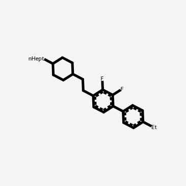 CCCCCCCC1CCC(CCc2ccc(-c3ccc(CC)cc3)c(F)c2F)CC1